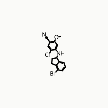 COc1cc(NC2CCc3c(Br)cccc32)c(Cl)cc1C#N